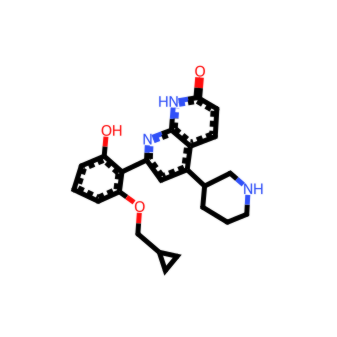 O=c1ccc2c(C3CCCNC3)cc(-c3c(O)cccc3OCC3CC3)nc2[nH]1